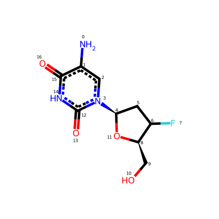 Nc1cn([C@H]2CC(F)[C@@H](CO)O2)c(=O)[nH]c1=O